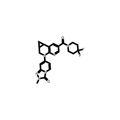 Cn1nc2cc(N3CC4CC4c4cc(C(=O)N5CCC(F)(F)CC5)cnc43)ccn2c1=O